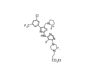 CCOC(=O)CCN1CCN(c2ncnc(Nc3nc(-c4cc(Cl)cc(C(F)(F)F)c4)c(CN4CCC[C@H]4C)s3)c2F)C[C@@H]1C